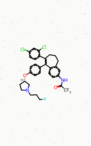 O=C(Nc1ccc2c(c1)CCCC(c1ccc(Cl)cc1Cl)=C2c1ccc(O[C@H]2CCN(CCCF)C2)cc1)C(F)(F)F